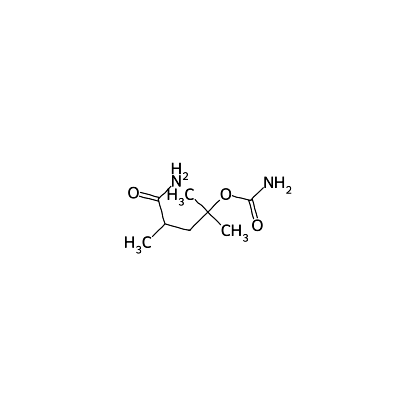 CC(CC(C)(C)OC(N)=O)C(N)=O